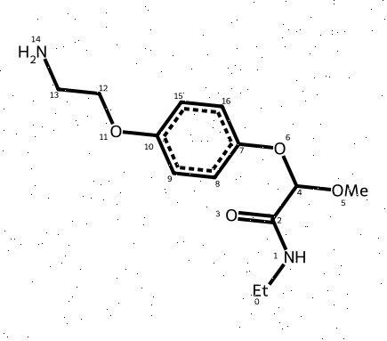 CCNC(=O)C(OC)Oc1ccc(OCCN)cc1